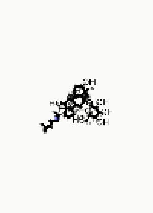 CC(C)=CC/C=C(\C)[C@H]1CC[C@]2(C)[C@@H]1[C@H](O)C[C@@H]1[C@@]3(C)CC[C@H](O)C(C)(C)[C@@H]3[C@@H](O[C@@H]3O[C@H](CO)[C@@H](O)[C@H](O)[C@H]3O)C[C@]12C